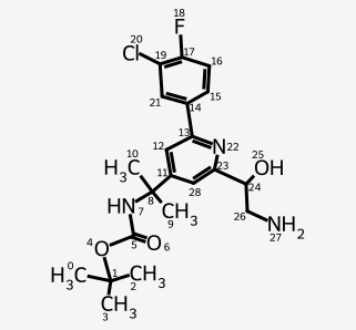 CC(C)(C)OC(=O)NC(C)(C)c1cc(-c2ccc(F)c(Cl)c2)nc(C(O)CN)c1